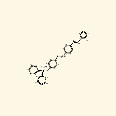 CC(C)(C)[Si](Oc1ccc(CNc2ccc(C=Cc3cccs3)cc2)cc1)(c1ccccc1)c1ccccc1